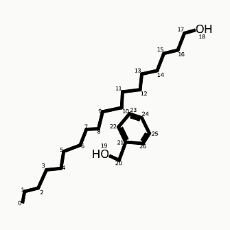 CCCCCCCCCCCCCCCCCCO.OCc1ccccc1